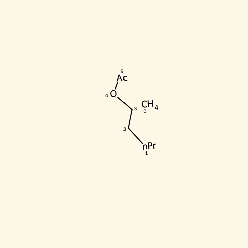 C.CCCCCOC(C)=O